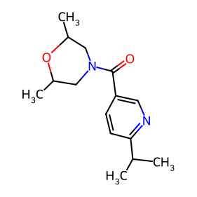 CC1CN(C(=O)c2ccc(C(C)C)nc2)CC(C)O1